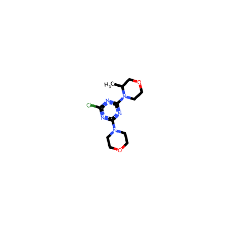 CC1COCCN1c1nc(Cl)nc(N2CCOCC2)n1